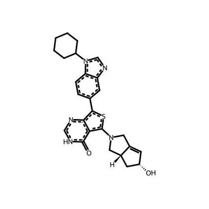 O=c1[nH]cnc2c(-c3ccc4c(c3)ncn4C3CCCCC3)sc(N3CC4=C[C@H](O)C[C@@H]4C3)c12